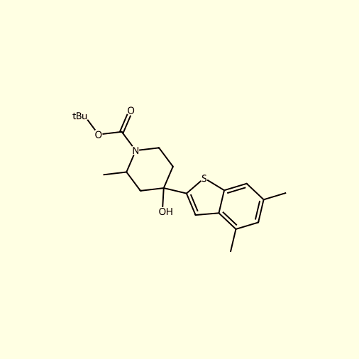 Cc1cc(C)c2cc(C3(O)CCN(C(=O)OC(C)(C)C)C(C)C3)sc2c1